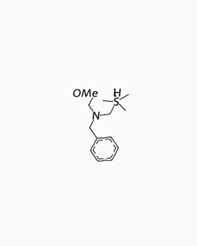 COCN(Cc1ccccc1)C[SH](C)(C)(C)C